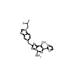 Cc1c(-c2ncco2)nc(N)n2nc(Cc3ccc4c(c3)ncn4CC(F)F)nc12